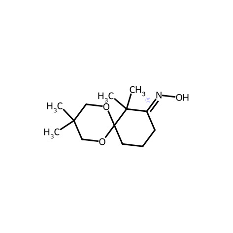 CC1(C)COC2(CCC/C(=N\O)C2(C)C)OC1